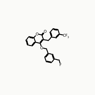 O=c1oc2ccccc2c(OCc2cccc(CF)c2)c1Cc1cccc(C(F)(F)F)c1